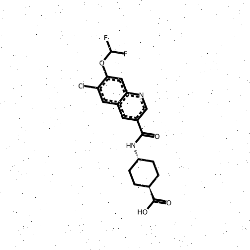 O=C(N[C@H]1CC[C@H](C(=O)O)CC1)c1cnc2cc(OC(F)F)c(Cl)cc2c1